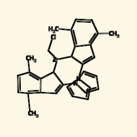 Cc1ccc(C)c2c1C=C(n1cccc1)[CH]2[Zr]([CH2]Cl)[CH]1C(n2cccc2)=Cc2c(C)ccc(C)c21